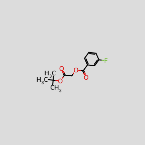 CC(C)(C)OC(=O)COC(=O)c1cccc(F)c1